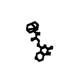 O=C(COc1nc(=O)[nH]c2c1COCC2)NC12CC3CC(CC(C3)C1)C2